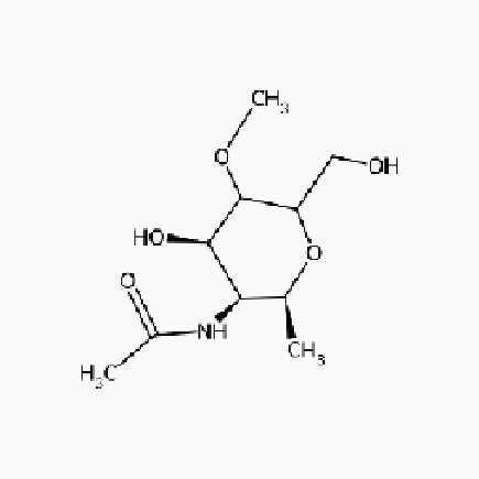 COC1C(CO)O[C@@H](C)[C@@H](NC(C)=O)[C@H]1O